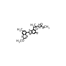 COC(=O)NCC1(C)Cc2c(c(F)cc3nc(-c4cc(C)cc5nc(OC)cnc45)sc23)O1